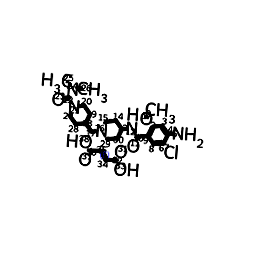 COc1cc(N)c(Cl)cc1C(=O)NC1CCN(CC2CCN(C(=O)N(C)C)CC2)CC1.O=C(O)/C=C/C(=O)O